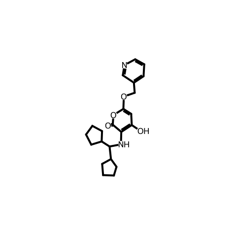 O=c1oc(OCc2cccnc2)cc(O)c1NC(C1CCCC1)C1CCCC1